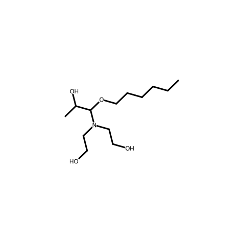 CCCCCCOC(C(C)O)N(CCO)CCO